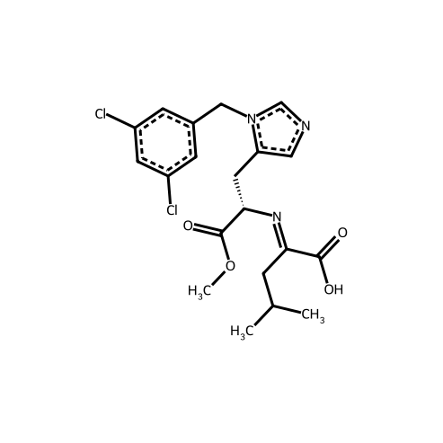 COC(=O)[C@H](Cc1cncn1Cc1cc(Cl)cc(Cl)c1)/N=C(\CC(C)C)C(=O)O